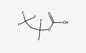 O=C(O)OC(F)(F)CC(F)(F)F